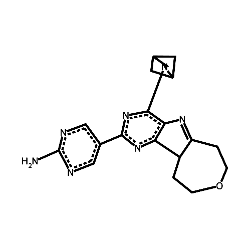 Nc1ncc(-c2nc3c(c(N4CC5CC4C5)n2)N=C2CCOCCC23)cn1